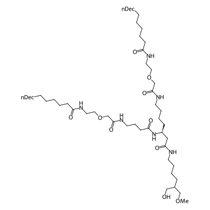 CCCCCCCCCCCCCCCC(=O)NCCOCC(=O)NCCCC[C@@H](CC(=O)NCCCCC(CO)COC)NC(=O)CCCNC(=O)COCCNC(=O)CCCCCCCCCCCCCCC